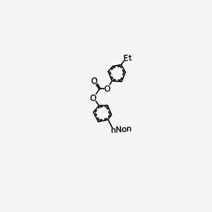 CCCCCCCCCc1ccc(OC(=O)Oc2ccc(CC)cc2)cc1